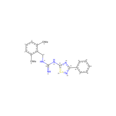 COc1cccc(OC)c1CNC(=N)Nc1nc(-c2ccccc2)ns1